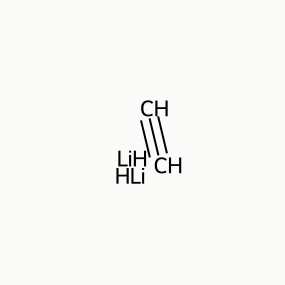 C#C.[LiH].[LiH]